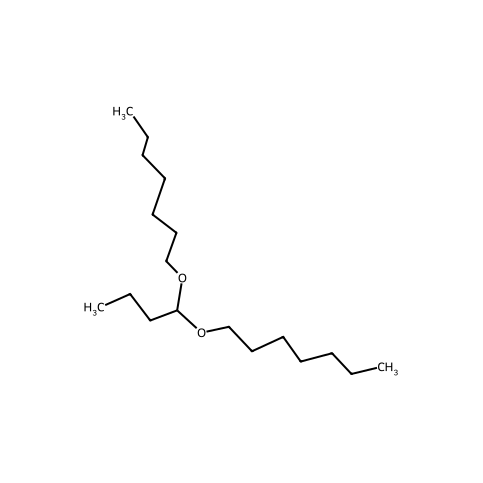 CCCCCCCOC(CCC)OCCCCCCC